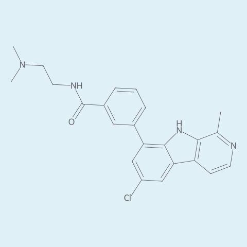 Cc1nccc2c1[nH]c1c(-c3cccc(C(=O)NCCN(C)C)c3)cc(Cl)cc12